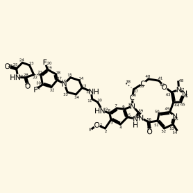 COCc1cc2c(cc1NCCNC1CCN(c3cc(F)c([C@H]4CCC(=O)NC4=O)c(F)c3)CC1)N1C[C@H](C)CCCOc3c(cnn3C)-c3cc(cc(C)n3)C(=O)/N=C/1N2